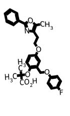 Cc1oc(-c2ccccc2)nc1CCOc1ccc(OC(C)(C)C(=O)O)c(COc2ccc(F)cc2)c1